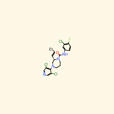 CC/C=C/[C@@H]1CN(c2c(Cl)cncc2Cl)CCCN1C(=O)Nc1ccc(F)c(Cl)c1